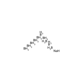 B.B.B.B.B.B.B.B.B.B.[NaH]